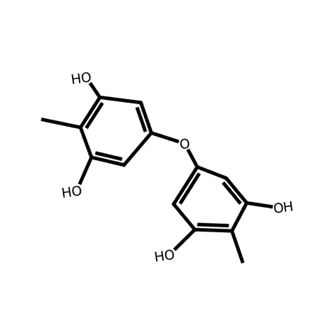 Cc1c(O)cc(Oc2cc(O)c(C)c(O)c2)cc1O